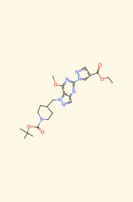 CCOC(=O)c1cnn(-c2nc(OC)c3c(cnn3CC3CCN(C(=O)OC(C)(C)C)CC3)n2)c1